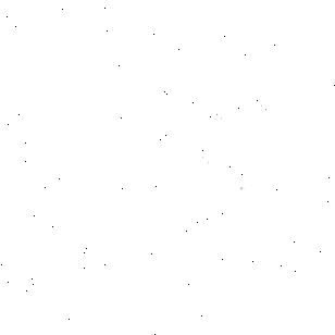 CC1(C)OC[C@@H](C(Cc2ncccn2)NC(=O)OCc2ccccc2)O1